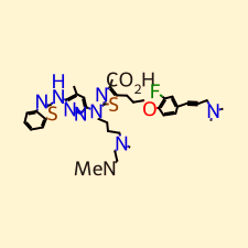 CNCCN(C)CCCCN(c1cc(C)c(Nc2nc3ccccc3s2)nn1)c1nc(C(=O)O)c(CCCOc2ccc(C#CCN(C)C)cc2F)s1